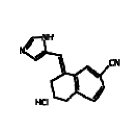 Cl.N#Cc1ccc2c(c1)/C(=C/c1cnc[nH]1)CCC2